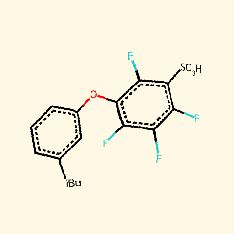 CCC(C)c1cccc(Oc2c(F)c(F)c(F)c(S(=O)(=O)O)c2F)c1